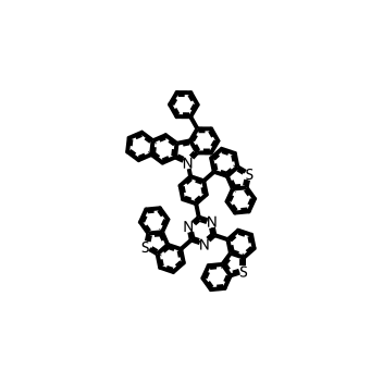 c1ccc(-c2cccc3c2c2cc4ccccc4cc2n3-c2ccc(-c3nc(-c4cccc5sc6ccccc6c45)nc(-c4cccc5sc6ccccc6c45)n3)cc2-c2cccc3sc4ccccc4c23)cc1